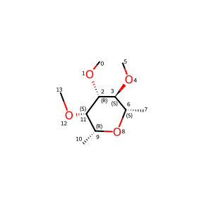 CO[C@@H]1[C@@H](OC)[C@H](C)O[C@H](C)[C@@H]1OC